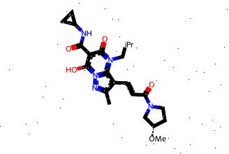 CO[C@H]1CCN(C(=O)/C=C/c2c(C)nn3c(O)c(C(=O)NC4CC4)c(=O)n(CC(C)C)c23)C1